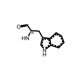 [NH][C@@H]([C]=O)Cc1c[nH]c2ccccc12